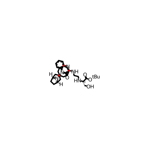 CC(C)(C)OC(=O)[C@H](CO)NCCNc1nc2ccccc2n([C@H]2C[C@H]3CC[C@@H](C2)N3C2CCCCCCC2)c1=O